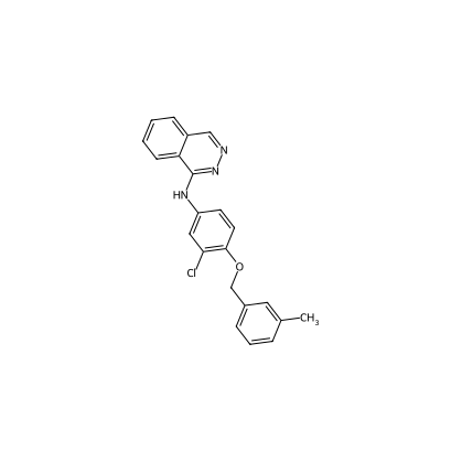 Cc1cccc(COc2ccc(Nc3nncc4ccccc34)cc2Cl)c1